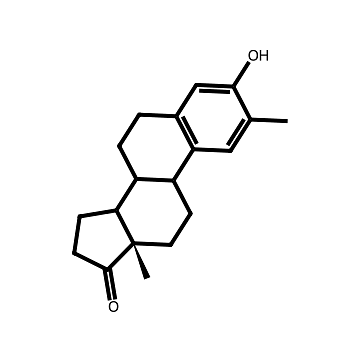 Cc1cc2c(cc1O)CCC1C2CC[C@]2(C)C(=O)CCC12